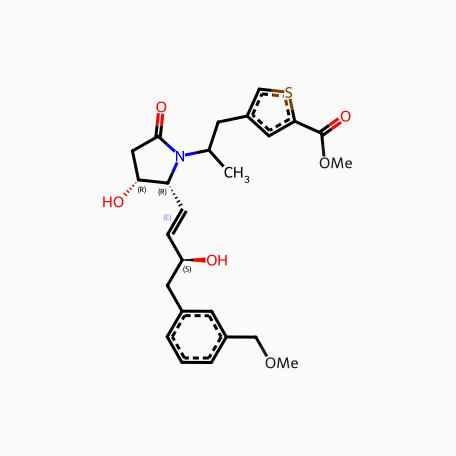 COCc1cccc(C[C@H](O)/C=C/[C@@H]2[C@H](O)CC(=O)N2C(C)Cc2csc(C(=O)OC)c2)c1